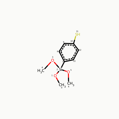 CO[Si](OC)(OC)c1ccc(S)cc1